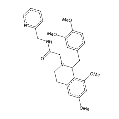 COc1cc2c(c(OC)c1)C(Cc1ccc(OC)c(OC)c1)N(CC(=O)NCc1ccccn1)CC2